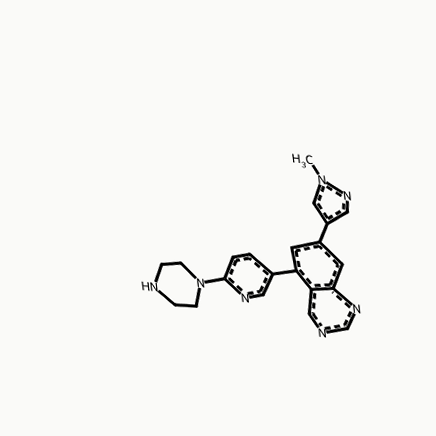 Cn1cc(-c2cc(-c3ccc(N4CCNCC4)nc3)c3cncnc3c2)cn1